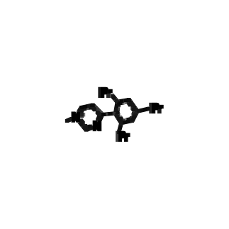 CC(C)c1cc(C(C)C)c(-c2cc[n+](C)cn2)c(C(C)C)c1